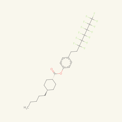 CCCCC[C@H]1CC[C@H](C(=O)Oc2ccc(CCC(F)(F)C(F)(F)C(F)(F)C(F)(F)C(F)(F)C(F)(F)F)cc2)CC1